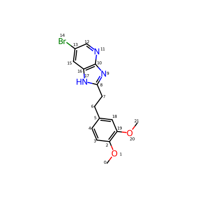 COc1ccc(CCc2nc3ncc(Br)cc3[nH]2)cc1OC